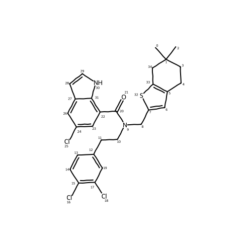 CC1(C)CCc2cc(CN(CCc3ccc(Cl)c(Cl)c3)C(=O)c3cc(Cl)cc4cc[nH]c34)sc2C1